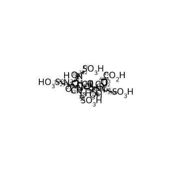 C/C(=C\C1=C(O)C(=C/C(C)=[N+](\CCCS(=O)(=O)O)c2cc(C(=O)NCCS(=O)(=O)O)cc(C(=O)NCCS(=O)(=O)O)c2C)/C1=O)N(CCCS(=O)(=O)O)c1ccc(C(=O)O)cc1C